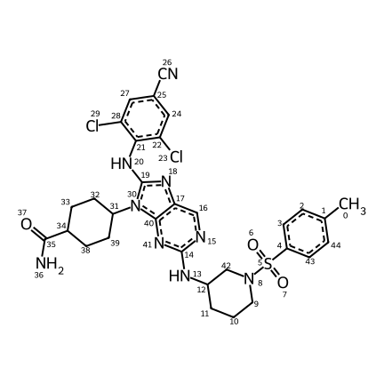 Cc1ccc(S(=O)(=O)N2CCCC(Nc3ncc4nc(Nc5c(Cl)cc(C#N)cc5Cl)n(C5CCC(C(N)=O)CC5)c4n3)C2)cc1